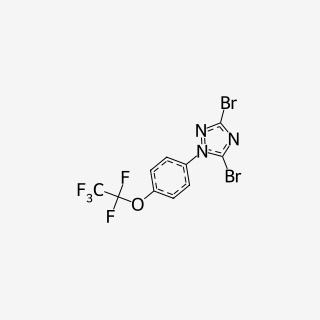 FC(F)(F)C(F)(F)Oc1ccc(-n2nc(Br)nc2Br)cc1